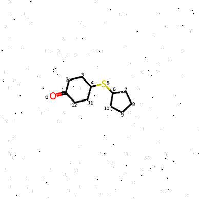 O=C1CCC(SC2CCCC2)CC1